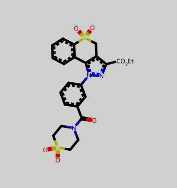 CCOC(=O)c1nn(-c2cccc(C(=O)N3CCS(=O)(=O)CC3)c2)c2c1CS(=O)(=O)c1ccccc1-2